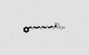 CCOC(=O)[C@H](C)OCCOCCOCCCOCc1ccccc1